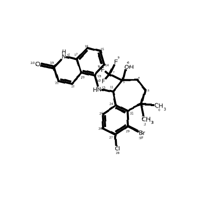 CC1(C)CCC(O)(C(F)(F)F)C(Nc2cccc3[nH]c(=O)ccc23)c2ccc(Cl)c(Br)c21